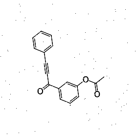 CC(=O)Oc1c[c]cc(C(=O)C#Cc2ccccc2)c1